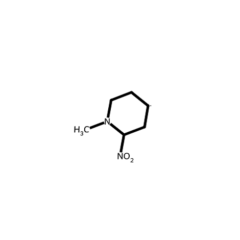 CN1CC[CH]CC1[N+](=O)[O-]